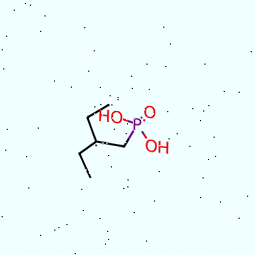 CC[C](CC)CP(=O)(O)O